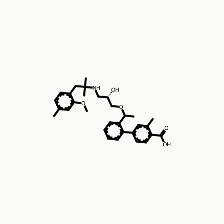 COc1cc(C)ccc1CC(C)(C)NC[C@H](O)COC(C)c1ccccc1-c1ccc(C(=O)O)c(C)c1